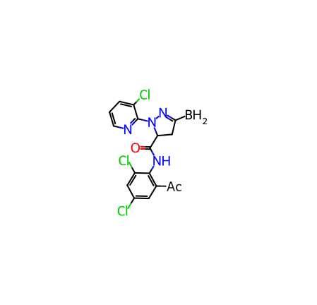 BC1=NN(c2ncccc2Cl)C(C(=O)Nc2c(Cl)cc(Cl)cc2C(C)=O)C1